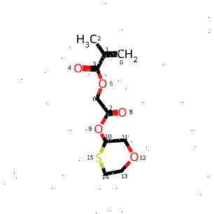 C=C(C)C(=O)OCC(=O)OC1COCCS1